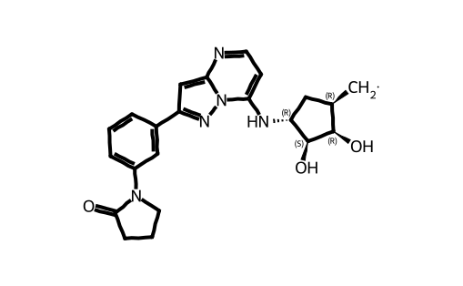 [CH2][C@@H]1C[C@@H](Nc2ccnc3cc(-c4cccc(N5CCCC5=O)c4)nn23)[C@H](O)[C@@H]1O